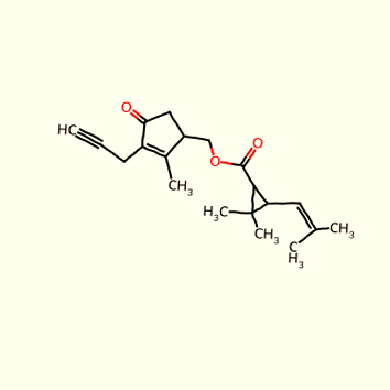 C#CCC1=C(C)C(COC(=O)C2C(C=C(C)C)C2(C)C)CC1=O